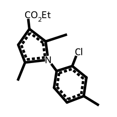 CCOC(=O)c1cc(C)n(-c2ccc(C)cc2Cl)c1C